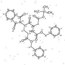 CC(C)(C)OC(=O)CN(NC(=O)OCc1ccccc1)C(=O)C(CCC(=O)OCc1ccccc1)N1C(=O)c2ccccc2C1=O